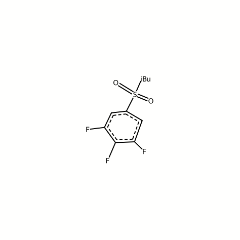 CCC(C)S(=O)(=O)c1cc(F)c(F)c(F)c1